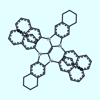 c1ccc2cc(N3C(=C4N(c5ccc6ccccc6c5)c5cc6c(cc5N4c4ccc5ccccc5c4)CCCC6)N(c4ccc5ccccc5c4)c4cc5c(cc43)CCCC5)ccc2c1